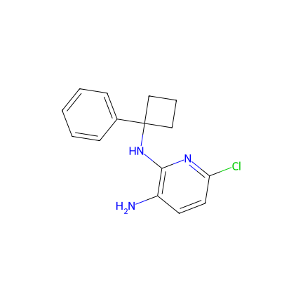 Nc1ccc(Cl)nc1NC1(c2ccccc2)CCC1